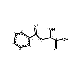 O=C(O)C(O)SC(=S)c1ccccc1